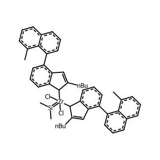 CCCCC1=Cc2c(-c3cccc4cccc(C)c34)cccc2[CH]1[Zr]([Cl])([Cl])([CH]1C(CCCC)=Cc2c(-c3cccc4cccc(C)c34)cccc21)=[Si](C)C